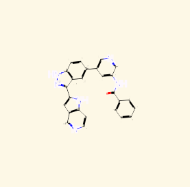 O=C(Nc1cncc(-c2ccc3[nH]nc(-c4cc5cnccc5[nH]4)c3c2)c1)c1ccccc1